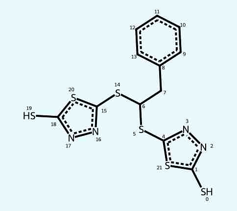 Sc1nnc(SC(Cc2ccccc2)Sc2nnc(S)s2)s1